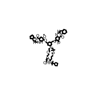 COCCOCCOCCN(CC(C)(C)SSCCCC(=O)NC(C)(C)C1CCCC1)c1cc(COc2cc3c(cc2OC)C(=O)N2c4ccccc4C[C@H]2C=N3)cc(COc2cc3c(cc2OC)C(=O)N2c4ccccc4C[C@H]2CN3)c1